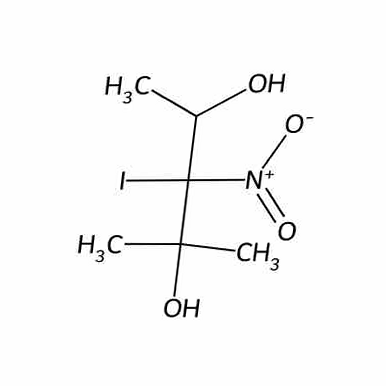 CC(O)C(I)([N+](=O)[O-])C(C)(C)O